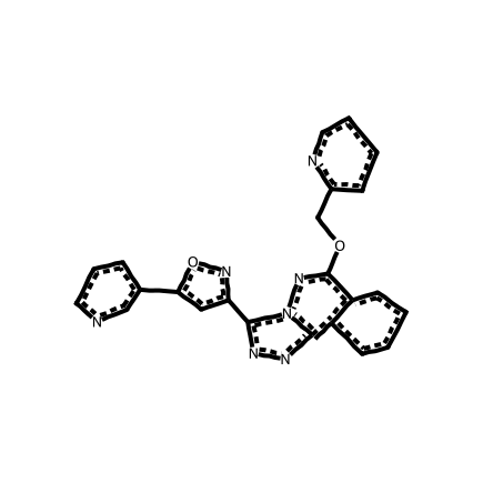 c1ccc(COc2nn3c(-c4cc(-c5cccnc5)on4)nnc3c3ccccc23)nc1